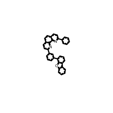 c1ccc(-c2ccc3ccc4ccc(-c5cccc(-c6cccc7c6oc6ccccc67)c5)nc4c3n2)cc1